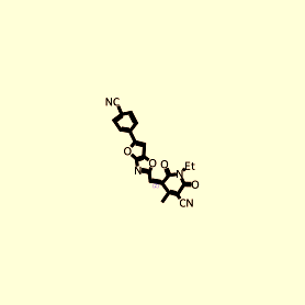 CCN1C(=O)C(C#N)=C(C)/C(=C/c2nc3oc(-c4ccc(C#N)cc4)cc3o2)C1=O